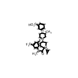 C[C@H]1CN([C@@H]2CC[C@@](C(=O)N(C)c3cc(F)cc(C(F)(F)F)c3)(C3CC3)OC2)CC[C@@H]1c1cccc(C(=O)O)c1